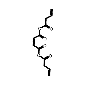 C=CCC(=O)OC(=O)/C=C\C(=O)OC(=O)CC=C